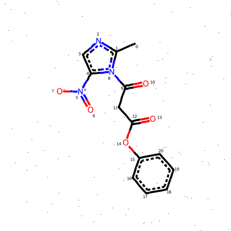 Cc1ncc([N+](=O)[O-])n1C(=O)CC(=O)Oc1ccccc1